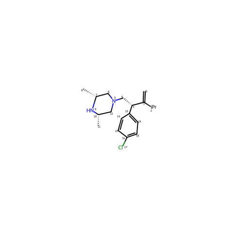 C=C(C(C)C)[C@@H](CN1C[C@@H](C)N[C@@H](C)C1)c1ccc(Cl)cc1